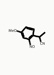 COc1ccc(C(C)C#N)c(N=O)c1